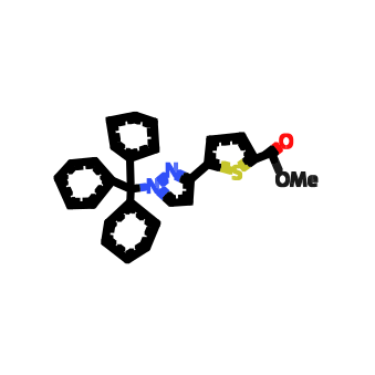 COC(=O)c1ccc(-c2ccn(C(c3ccccc3)(c3ccccc3)c3ccccc3)n2)s1